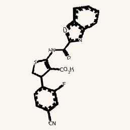 N#Cc1ccc(C2CSC(NC(=O)c3nc4ccccc4o3)=C2C(=O)O)c(F)c1